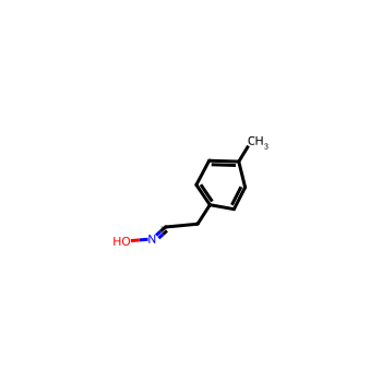 Cc1ccc(C[C]=NO)cc1